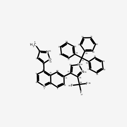 Cc1cc(-c2ccnc3ccc(-c4cn(C(c5ccccc5)(c5ccccc5)c5ccccc5)nc4C(F)(F)F)cc23)on1